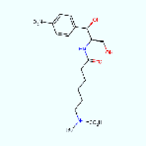 CC(C)(C)N(CCCCCC(=O)N[C@H](CO)[C@H](O)c1ccc([N+](=O)[O-])cc1)C(=O)O